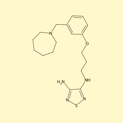 Nc1nsnc1NCCCOc1cccc(CN2CCCCCC2)c1